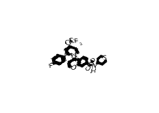 O=S(=O)(NC1CCSCC1)c1ccc2c(c1)OCCC2N1CC[C@@H](OC(F)(F)F)C[C@H]1c1ccc(F)cc1